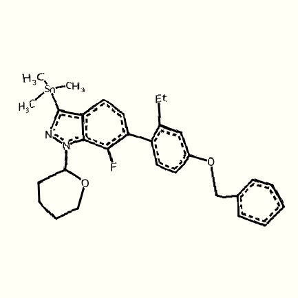 CCc1cc(OCc2ccccc2)ccc1-c1ccc2[c]([Sn]([CH3])([CH3])[CH3])nn(C3CCCCO3)c2c1F